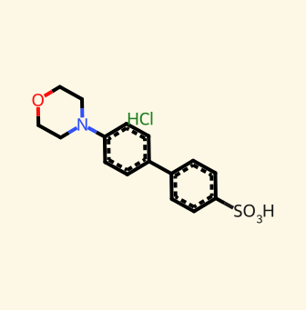 Cl.O=S(=O)(O)c1ccc(-c2ccc(N3CCOCC3)cc2)cc1